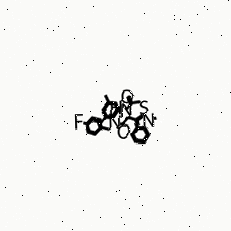 Cc1cc(C)cc(N2C(=O)CSc3c(c4ccccc4n3C)C2C(=O)NCc2ccc(F)cc2)c1